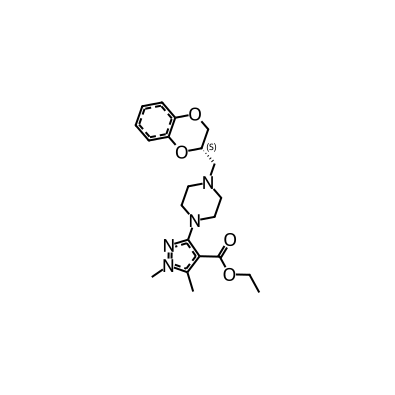 CCOC(=O)c1c(N2CCN(C[C@H]3COc4ccccc4O3)CC2)nn(C)c1C